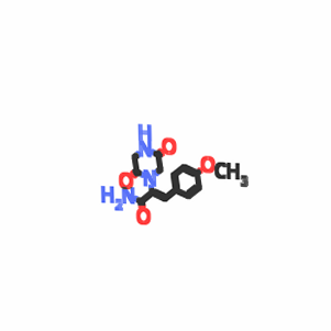 COc1ccc(C=C(C(N)=O)N2CC(=O)NCC2=O)cc1